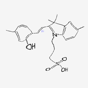 Cc1ccc(/C=C/C2=[N+](CCCS(=O)(=O)O)c3ccc(C)cc3C2(C)C)c(O)c1